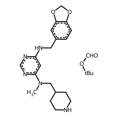 CC(C)(C)OC=O.CN(CC1CCNCC1)c1cc(NCc2ccc3c(c2)OCO3)ncn1